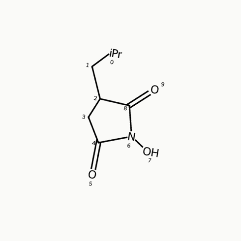 CC(C)CC1CC(=O)N(O)C1=O